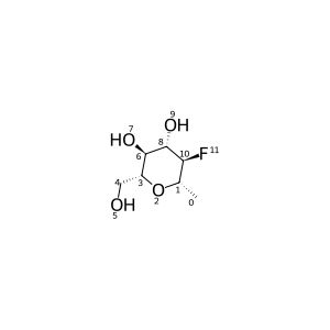 C[C@@H]1O[C@H](CO)[C@@H](O)[C@H](O)[C@H]1F